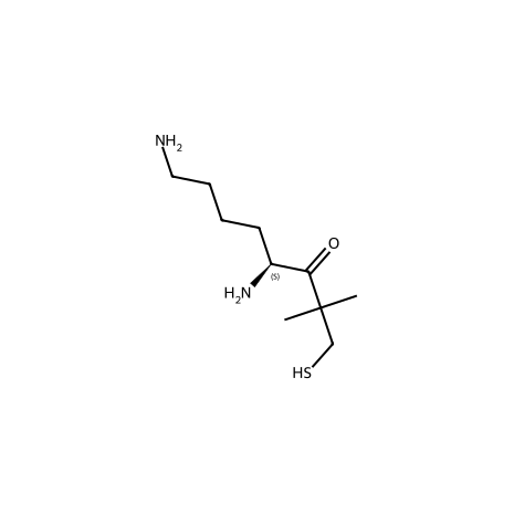 CC(C)(CS)C(=O)[C@@H](N)CCCCN